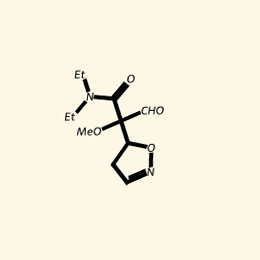 CCN(CC)C(=O)C(C=O)(OC)C1C[C]=NO1